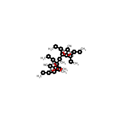 Cc1cccc(-c2ccc3c(c2)c2cc(-c4cccc(C)c4)ccc2n3-c2cc(C#N)cc(-n3c4ccc(-c5cccc(C)c5)cc4c4cc(-c5ccc(-c6cc(-c7cccc(C)c7)cc7c6c6ccc(-c8cccc(C)c8)cc6n7-c6cc(C#N)cc(-n7c8cc(-c9cccc(C)c9)ccc8c8ccc(-c9cccc(C)c9)cc87)c6-c6c(C#N)cccc6C(F)(F)F)c(C)c5)ccc43)c2-c2c(C#N)cccc2C(F)(F)F)c1